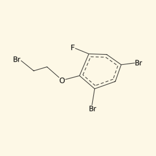 Fc1cc(Br)cc(Br)c1OCCBr